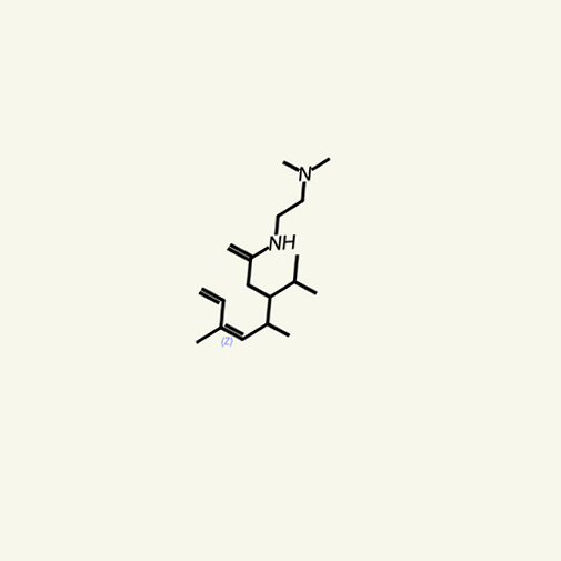 C=C/C(C)=C\C(C)C(CC(=C)NCCN(C)C)C(C)C